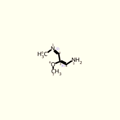 C/N=C\C(=C/N)OC